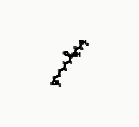 CCCCCCCC(=O)NCCN